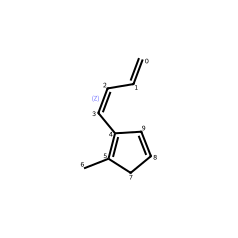 C=C/C=C\C1=C(C)CC=C1